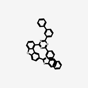 c1ccc(-c2ccc(-c3nc(-c4cccc(-c5ccccc5)c4)nc(-c4cccc5oc6ccc(-c7nc8ccccc8s7)cc6c45)n3)cc2)cc1